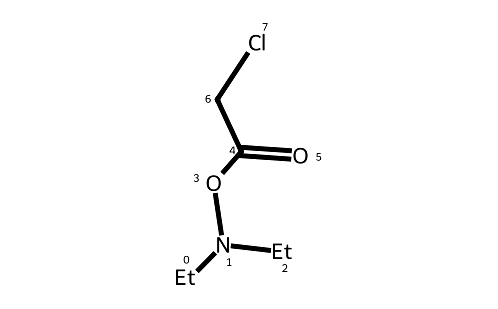 CCN(CC)OC(=O)CCl